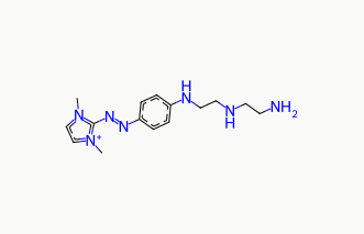 Cn1cc[n+](C)c1/N=N/c1ccc(NCCNCCN)cc1